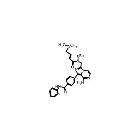 CCCCN(Cc1nc(-c2ccc(C(=O)Nc3ccccn3)cc2)c2c(N)nccn12)C(=O)/C=C/CN(C)C